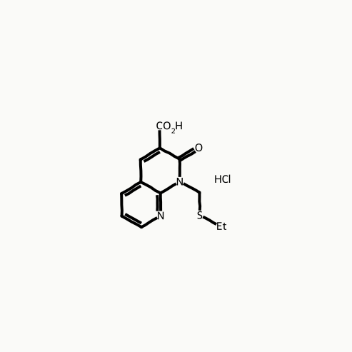 CCSCn1c(=O)c(C(=O)O)cc2cccnc21.Cl